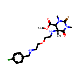 CN1C(=O)C(C#N)(NCCOCCNCc2ccc(F)cc2)C(C(=O)OC(C)(C)C)N(C)C1=S